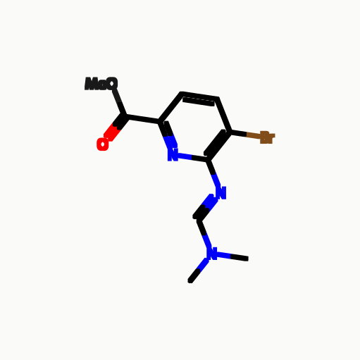 COC(=O)c1ccc(Br)c(N=CN(C)C)n1